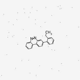 CCc1ccccc1-c1ccc2c(c1)nnc1ccccc12